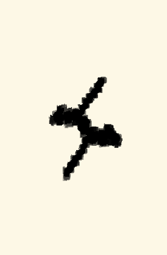 CCCCCCCCCCCCc1cc(C(C)(C)c2sc(F)cc2F)sc1-c1ccc(-c2sc(C(C)(CC)c3sc(F)cc3F)cc2CCCCCCCCCCCC)cc1